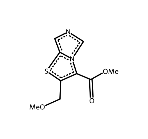 COCc1sc2cncn2c1C(=O)OC